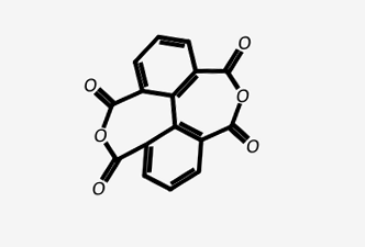 O=c1oc(=O)c2cccc3c(=O)oc(=O)c4cccc1c4c23